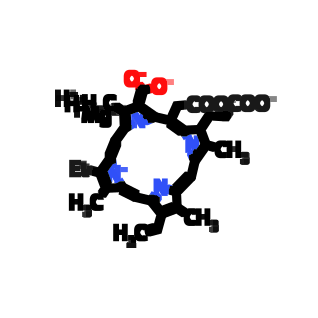 C=CC1=C(C)C2=CC3=NC(=C(CC(=O)[O-])C4=NC(=C(C)C4=C([O-])[O-])C=c4[n-]c(c(C)c4CC)=CC1=N2)C(CCC(=O)[O-])C3C.[H+].[H+].[H+].[Mg+2]